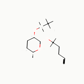 C=CCCC(C)(C)O[C@@H]1O[C@@H](C)[C@H](C)C[C@H]1O[Si](C)(C)C(C)(C)C